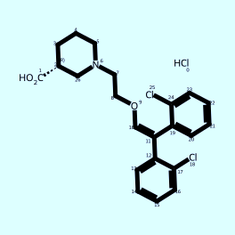 Cl.O=C(O)[C@@H]1CCCN(CCOC=C(c2ccccc2Cl)c2ccccc2Cl)C1